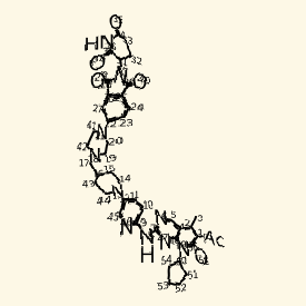 CC(=O)c1c(C)c2cnc(Nc3ccc(N4CCC(CN5CCN(c6ccc7c(c6)C(=O)N(C6CCC(=O)NC6=O)C7=O)CC5)CC4)cn3)nc2n(C2CCCC2)c1=O